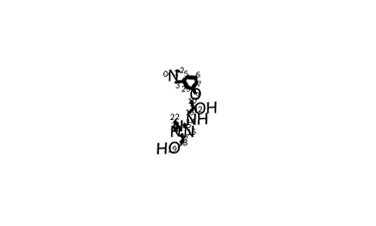 CN(C)Cc1cccc(OCC(O)CNc2nc(CO)nn2C)c1